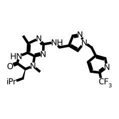 Cc1nc(NCc2cnn(Cc3ccc(C(F)(F)F)nc3)c2)nc2c1NC(=O)[C@H](CC(C)C)N2C